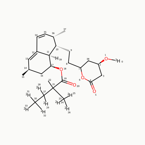 [2H]O[C@H]1CC(=O)OC(CC[C@@H]2[C@@H]3C(=C[C@H](C)C[C@@H]3OC(=O)C(C)(C([2H])([2H])[2H])C([2H])([2H])C([2H])([2H])[2H])C=C[C@@H]2C)C1